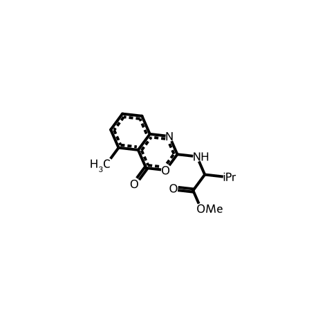 COC(=O)C(Nc1nc2cccc(C)c2c(=O)o1)C(C)C